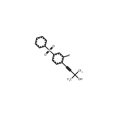 O=S(=O)(c1ccccc1)c1ccc(C#CC(O)(C(F)(F)F)C(F)(F)F)c(F)c1